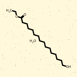 CCOC(=O)CCCCCCCCCCCCCCCO.O